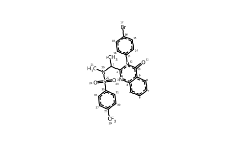 CC(c1nc2ccccc2c(=O)n1-c1ccc(Br)cc1)N(C)S(=O)(=O)c1ccc(C(F)(F)F)cc1